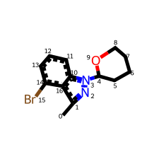 Cc1nn(C2CCCCO2)c2cccc(Br)c12